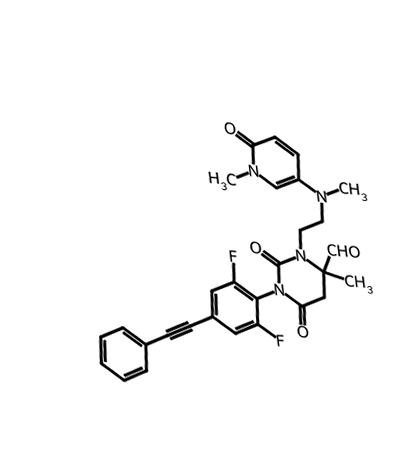 CN(CCN1C(=O)N(c2c(F)cc(C#Cc3ccccc3)cc2F)C(=O)CC1(C)C=O)c1ccc(=O)n(C)c1